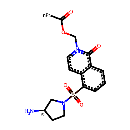 CCCC(=O)OCn1ccc2c(S(=O)(=O)N3CC[C@@H](N)C3)cccc2c1=O